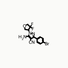 N#Cc1c(-c2ccc(Br)cc2)nn(C2COCC2(F)F)c1N